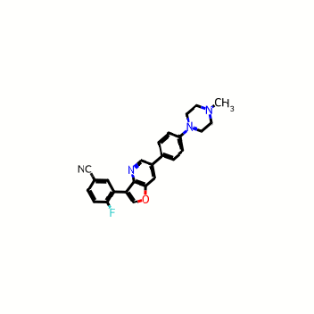 CN1CCN(c2ccc(-c3cnc4c(-c5cc(C#N)ccc5F)coc4c3)cc2)CC1